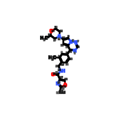 Cc1cc(-c2ncnn3cc(N4CCOC(C)C4)cc23)ccc1CNC(=O)c1coc(C(C)(C)C)n1